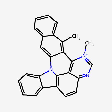 Cc1c2ccccc2cc2c1c1c3c(ccc4c5ccccc5n2c43)nc[n+]1C